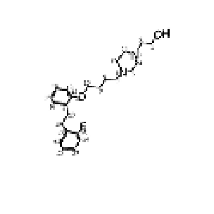 OCCN1CCN(CCCCOc2ccccc2CCc2ccccc2F)CC1